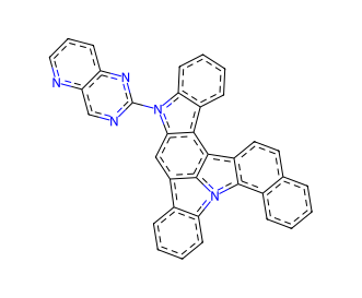 c1ccc2c(c1)ccc1c3c4c5ccccc5n(-c5ncc6ncccc6n5)c4cc4c5ccccc5n(c21)c43